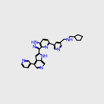 c1cncc(-c2cncc3[nH]c(-c4n[nH]c5ccc(-c6cncc(CNCC7CCCC7)c6)nc45)cc23)c1